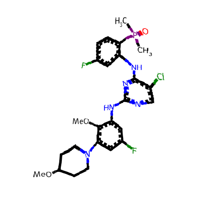 COc1c(Nc2ncc(Cl)c(Nc3cc(F)ccc3P(C)(C)=O)n2)cc(F)cc1N1CCC(OC)CC1